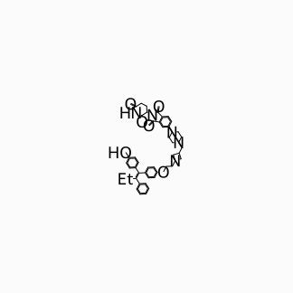 CC/C(=C(\c1ccc(O)cc1)c1ccc(OCCN2CC(CN3CCN(c4ccc5c(c4)C(=O)N(C4CCC(=O)NC4=O)C5=O)CC3)C2)cc1)c1ccccc1